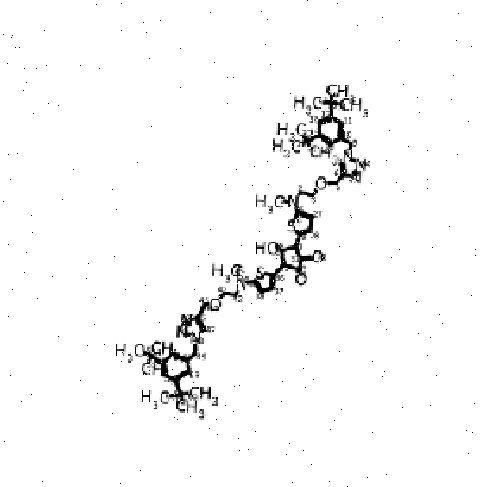 CN(CCOCc1cn(Cc2cc(C(C)(C)C)cc(C(C)(C)C)c2)nn1)c1ccc(C2C(=O)C(=O)C(c3ccc(N(C)CCOCc4cn(Cc5cc(C(C)(C)C)cc(C(C)(C)C)c5)nn4)s3)C2O)s1